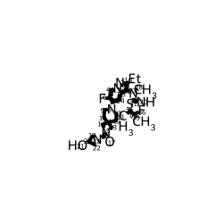 CCc1nn2cc(F)c(N3CCC4(CC3)CN(C(=O)N3CC(O)C3)C4)cc2c1N(C)C(=N)SC(C)[C@@H](C)F